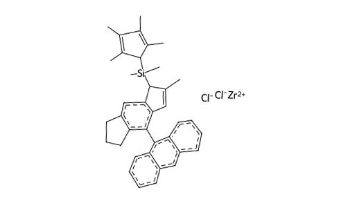 CC1=Cc2c(cc3c(c2-c2c4ccccc4cc4ccccc24)CCC3)C1[Si](C)(C)C1C(C)=C(C)C(C)=C1C.[Cl-].[Cl-].[Zr+2]